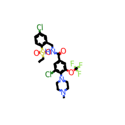 CCS(=O)(=O)c1ccc(Cl)cc1CNC(=O)c1cc(Cl)c(N2CCN(C)CC2)c(OC(F)(F)F)c1